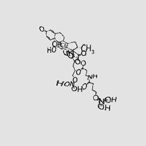 C[C@H]1CC2C3CCC4=CC(=O)C=C[C@]4(C)[C@@]3(Cl)[C@@H](O)C[C@]2(C)[C@@]1(OC(=O)CCCON(O)O)C(=O)COC(=O)CCNC(=O)CCCON(O)O